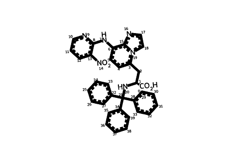 O=C(O)[C@H](Cc1ccc(Nc2ncccc2[N+](=O)[O-])c2nccn12)NC(c1ccccc1)(c1ccccc1)c1ccccc1